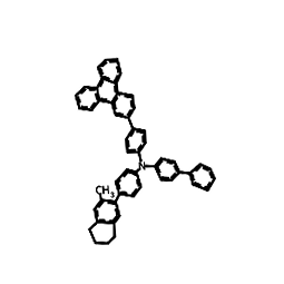 Cc1cc2c(cc1-c1ccc(N(c3ccc(-c4ccccc4)cc3)c3ccc(-c4ccc5c6ccccc6c6ccccc6c5c4)cc3)cc1)CCCC2